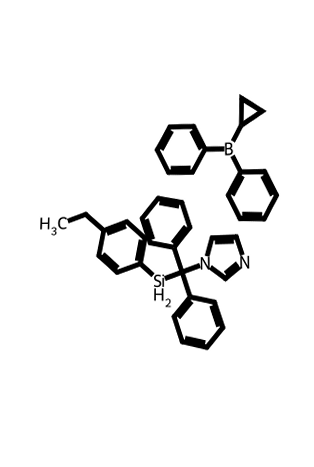 CCc1ccc([SiH2]C(c2ccccc2)(c2ccccc2)n2ccnc2)cc1.c1ccc(B(c2ccccc2)C2CC2)cc1